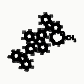 CC1/C=C\C=C/Cc2c(ccc3c4ccccc4n(-c4ccc([Si](c5ccccc5)(c5ccccc5)c5ccc(-n6c7ccccc7c7ccccc76)cn5)nc4)c23)O1